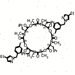 CCc1cnn(Cc2ccc(C[C@H]3OC(=O)[C@H](CC(C)C)N(C)C(=O)[C@@H](C)OC(=O)[C@H](CC(C)C)N(C)C(=O)[C@@H](Cc4cccc(Cn5cc(CC)cn5)c4)OC(=O)[C@H](CC(C)C)N(C)C(=O)[C@@H](C)OC(=O)[C@H](CC(C)C)N(C)C3=O)cc2)c1